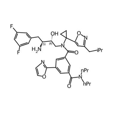 CCCN(CCC)C(=O)c1cc(C(=O)N(C[C@@H](O)[C@@H](N)Cc2cc(F)cc(F)c2)C2(c3cc(CC(C)C)no3)CC2)cc(-c2ncco2)c1